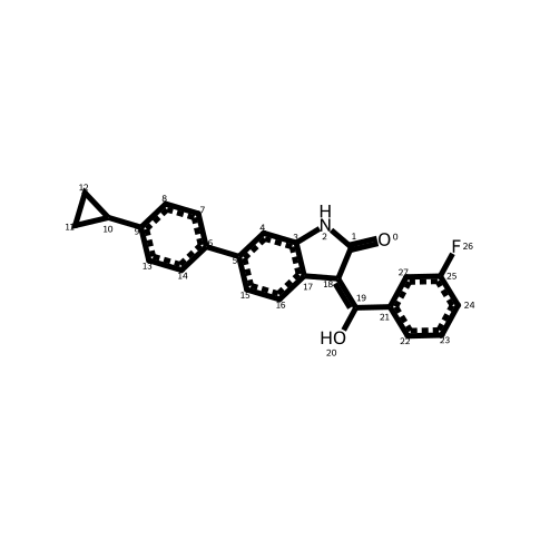 O=C1Nc2cc(-c3ccc(C4CC4)cc3)ccc2C1=C(O)c1cccc(F)c1